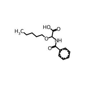 CCCCCOC(NC(=O)c1ccccc1)C(=O)O